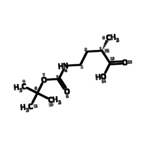 C[C@@H](CCNC(=O)OC(C)(C)C)C(=O)O